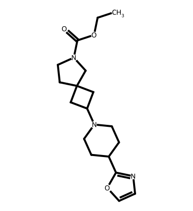 CCOC(=O)N1CCC2(CC(N3CCC(c4ncco4)CC3)C2)C1